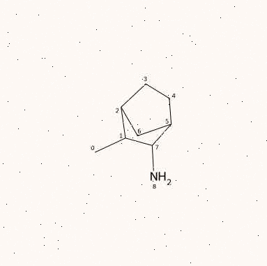 CC1C2CCC(C2)C1N